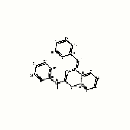 O=C(Cc1ccccc1N=Cc1ccccc1)Nc1ccccc1